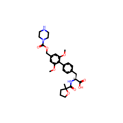 COc1cc(COC(=O)N2CCNCC2)cc(OC)c1-c1ccc(C[C@H](NC(=O)C2(C)CCCO2)C(=O)O)cc1